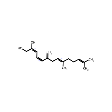 C=C(/C=C\C=C(\O)CO)C/C=C(\C)CCC=C(C)C